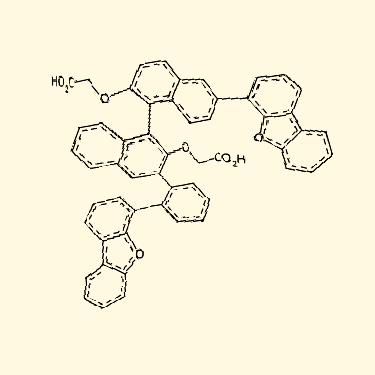 O=C(O)COc1ccc2cc(-c3cccc4c3oc3ccccc34)ccc2c1-c1c(OCC(=O)O)c(-c2ccccc2-c2cccc3c2oc2ccccc23)cc2ccccc12